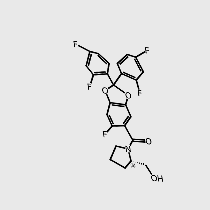 O=C(c1cc2c(cc1F)OC(c1ccc(F)cc1F)(c1ccc(F)cc1F)O2)N1CCC[C@H]1CO